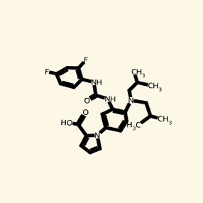 CC(C)CN(CC(C)C)c1ccc(-n2cccc2C(=O)O)cc1NC(=O)Nc1ccc(F)cc1F